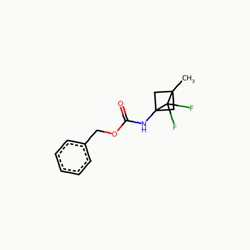 CC12CC(NC(=O)OCc3ccccc3)(C1)C2(F)F